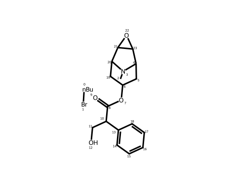 CCCCBr.CN1C2CC(OC(=O)C(CO)c3ccccc3)CC1C1OC12